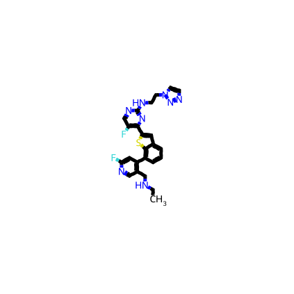 CCNCc1cnc(F)cc1-c1cccc2cc(-c3nc(NCCn4ccnn4)ncc3F)sc12